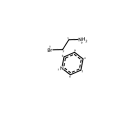 NCCBr.c1ccncc1